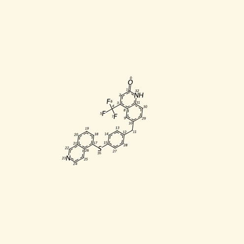 O=c1cc(C(F)(F)F)c2cc(Cc3ccc(Sc4cccc5cnccc45)cc3)ccc2[nH]1